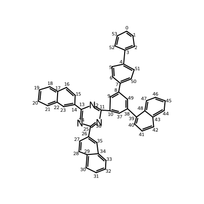 c1ccc(-c2ccc(-c3cc(-c4nc(-c5ccc6ccccc6c5)nc(-c5ccc6ccccc6c5)n4)cc(-c4cccc5ccccc45)c3)cc2)cc1